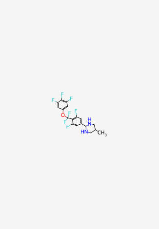 CC1CNC(c2cc(F)c(C(F)(F)Oc3cc(F)c(F)c(F)c3)c(F)c2)NC1